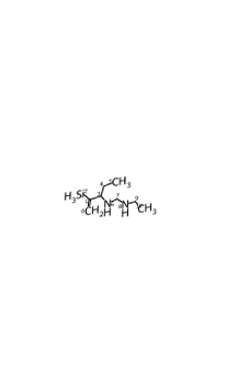 C=C([SiH3])C(CC)NCNCC